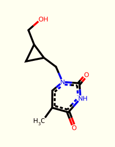 Cc1cn(CC2CC2CO)c(=O)[nH]c1=O